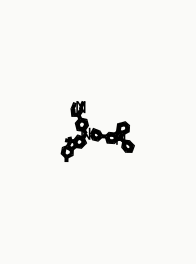 CC1C=CC2=C(C1)c1ccc(N(c3ccc(C4=CN(C)CC=C4)cc3)c3ccc(-c4ccc5c(c4)c4ccccc4n5-c4ccccc4)cc3)cc1C2(C)C